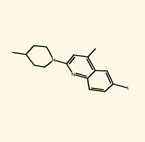 Cc1cc(N2CCC(C)CC2)nc2ccc(I)cc12